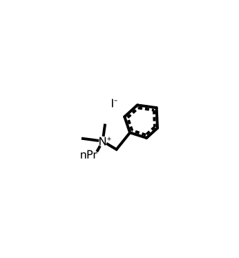 CCC[N+](C)(C)Cc1ccccc1.[I-]